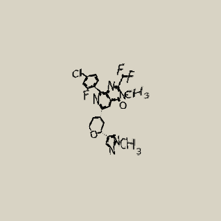 Cn1cc([C@H]2C[C@@H](c3cc4c(=O)n(C)c(C(F)F)nc4c(-c4ccc(Cl)cc4F)n3)CCO2)cn1